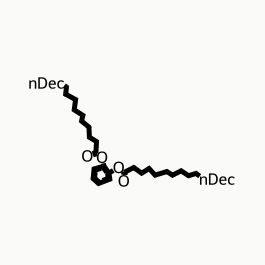 CCCCCCCCCCCCCCCCCCCC(=O)Oc1ccccc1OC(=O)CCCCCCCCCCCCCCCCCCC